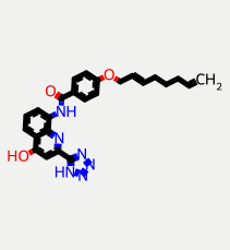 C=CCCC/C=C/COc1ccc(C(=O)Nc2cccc3c(O)cc(-c4nnn[nH]4)nc23)cc1